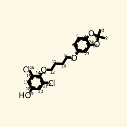 CC1(C)Oc2ccc(OCCCCOc3c(Cl)cc(O)cc3Cl)cc2O1